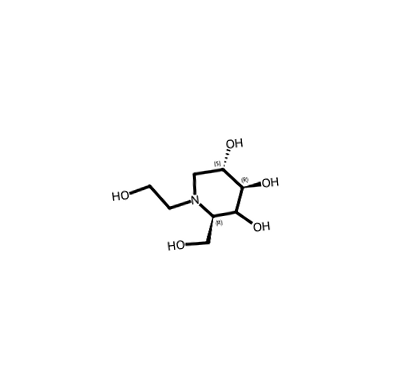 OCCN1C[C@H](O)[C@@H](O)C(O)[C@H]1CO